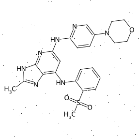 Cc1nc2c(Nc3ccccc3S(C)(=O)=O)cc(Nc3ccc(N4CCOCC4)cn3)nc2[nH]1